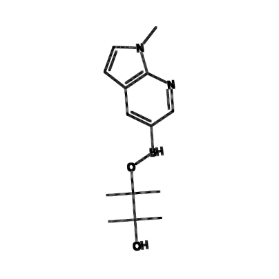 Cn1ccc2cc(BOC(C)(C)C(C)(C)O)cnc21